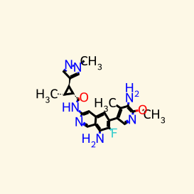 COc1ncc(-c2cc3cc(NC(=O)[C@@H]4[C@H](C)[C@H]4c4cnn(C)c4)ncc3c(N)c2F)c(C)c1N